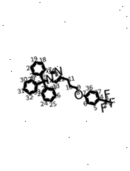 FC(F)(F)c1ccc(OCCCc2cn(C(c3ccccc3)(c3ccccc3)c3ccccc3)cn2)cc1